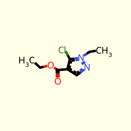 CCOC(=O)c1cnn(CC)c1Cl